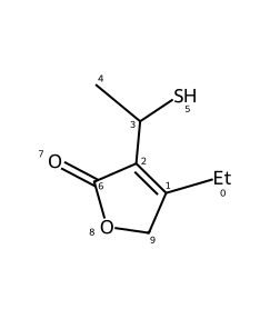 CCC1=C(C(C)S)C(=O)OC1